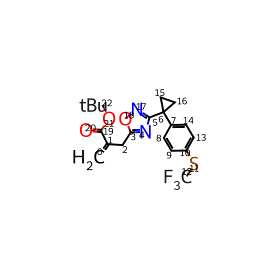 C=C(Cc1nc(C2(c3ccc(SC(F)(F)F)cc3)CC2)no1)C(=O)OC(C)(C)C